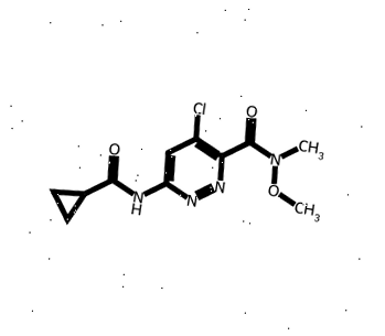 CON(C)C(=O)c1nnc(NC(=O)C2CC2)cc1Cl